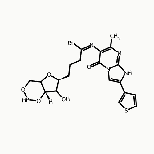 Cc1nc2[nH]c(-c3ccsc3)cn2c(=O)c1/N=C(/Br)CCC[C@@H]1OC2COPO[C@H]2C1O